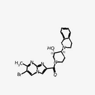 Cc1nc2nc(C(=O)N3CC[C@H](N4CCc5ccccc5C4)[C@@H](O)C3)cn2cc1Br